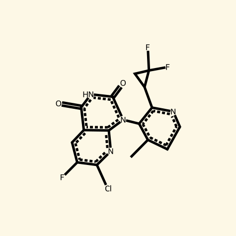 Cc1ccnc(C2CC2(F)F)c1-n1c(=O)[nH]c(=O)c2cc(F)c(Cl)nc21